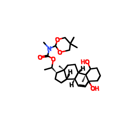 CC(OC(=O)N(C)C1OCC(C)(C)CO1)[C@H]1CC[C@H]2[C@@H]3C=CC4(O)CCCC(O)[C@]4(C)[C@H]3CC[C@]12C